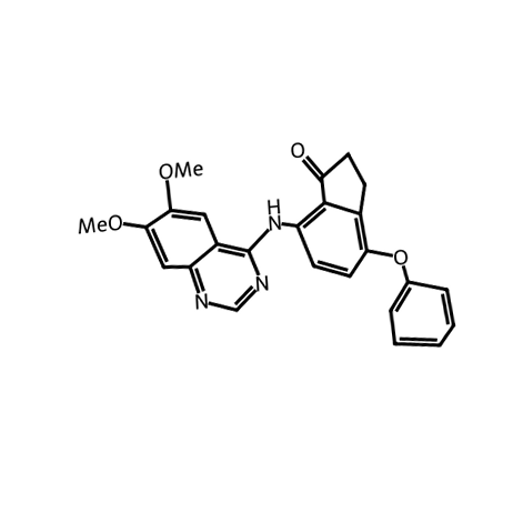 COc1cc2ncnc(Nc3ccc(Oc4ccccc4)c4c3C(=O)CC4)c2cc1OC